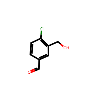 O=Cc1ccc(Cl)c(CO)c1